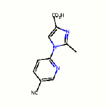 Cc1nc(C(=O)O)cn1-c1ccc(C#N)cn1